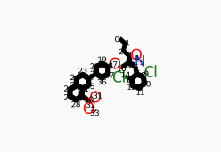 CCCc1onc(-c2c(Cl)cccc2Cl)c1COc1ccc(-c2ccc3cccc(C(=O)OC)c3c2)cc1